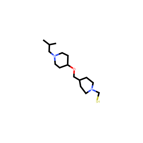 CC(C)CN1CCC(OCC2CCN(CS)CC2)CC1